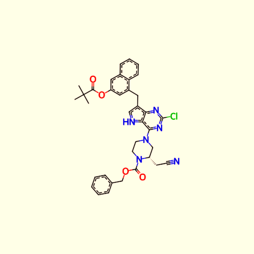 CC(C)(C)C(=O)Oc1cc(Cc2c[nH]c3c(N4CCN(C(=O)OCc5ccccc5)[C@@H](CC#N)C4)nc(Cl)nc23)c2ccccc2c1